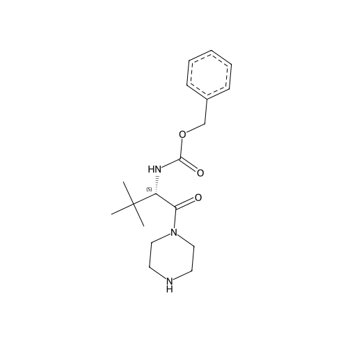 CC(C)(C)[C@H](NC(=O)OCc1ccccc1)C(=O)N1CCNCC1